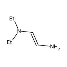 CCN(C=CN)CC